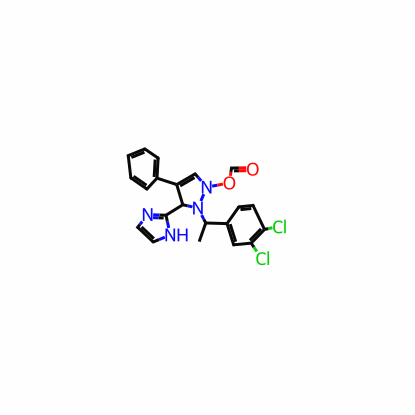 CC(c1ccc(Cl)c(Cl)c1)N1C(c2ncc[nH]2)C(c2ccccc2)=CN1OC=O